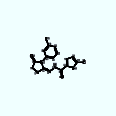 O=C(N/N=C1/SCC(=O)N1c1cccc(F)c1)c1ccc(Cl)s1